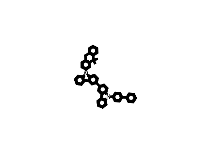 CC1(C)c2ccccc2Cc2ccc(-n3c4ccccc4c4cc(-c5ccc6c(c5)c5ccccc5n6-c5ccc(-c6ccccc6)cc5)ccc43)cc21